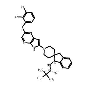 CC(C)(C)[S@@+]([O-])N[C@@H]1c2ccccc2CC12CCN(c1cc3nc(Sc4cccc(Cl)c4Cl)cnc3[nH]1)CC2